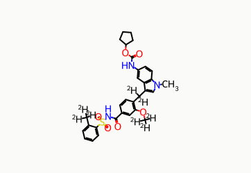 [2H]C([2H])([2H])Oc1cc(C(=O)NS(=O)(=O)c2ccccc2C([2H])([2H])[2H])ccc1C([2H])([2H])c1cn(C)c2ccc(NC(=O)OC3CCCC3)cc12